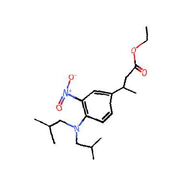 CCOC(=O)CC(C)c1ccc(N(CC(C)C)CC(C)C)c([N+](=O)[O-])c1